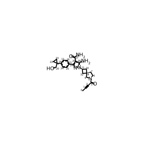 CC#CC(=O)N1CC[C@]2(C1)C[C@H](n1nc(-c3ccc(C4(CO)CC4)cc3)c(C(N)=O)c1N)C2